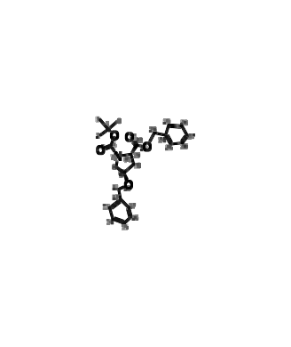 CC(C)(C)OC(=O)N1C[C@H](OCc2ccccc2)C[C@@H]1C(=O)OCc1ccccc1